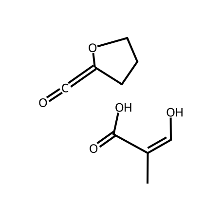 CC(=CO)C(=O)O.O=C=C1CCCO1